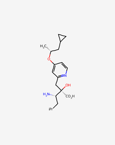 CC(C)C[C@H](N)[C@](O)(Cc1cc(O[C@H](C)CC2CC2)ccn1)C(=O)O